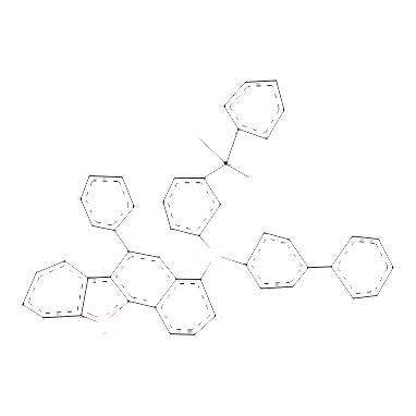 CC(C)(c1ccccc1)c1cccc(N(c2ccc(-c3ccccc3)cc2)c2cccc3c2cc(-c2ccccc2)c2c4ccccc4oc32)c1